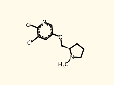 CN1CCC[C@@H]1COc1cnc(Cl)c(Cl)c1